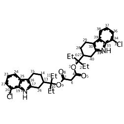 CCC(CC)(OC(=O)CC(=O)OC(CC)(CC)C1CCc2c([nH]c3c(Cl)cccc23)C1)C1CCc2c([nH]c3c(Cl)cccc23)C1